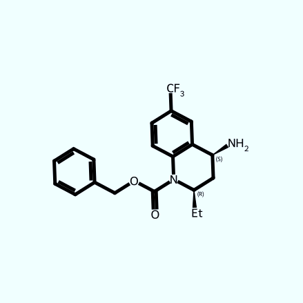 CC[C@@H]1C[C@H](N)c2cc(C(F)(F)F)ccc2N1C(=O)OCc1ccccc1